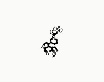 Cn1ccc2c3c(C4CCCN(C(=O)CS(C)(=O)=O)C4)ccnc3cnc21